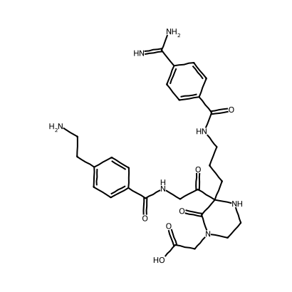 N=C(N)c1ccc(C(=O)NCCCC2(C(=O)CNC(=O)c3ccc(CCN)cc3)NCCN(CC(=O)O)C2=O)cc1